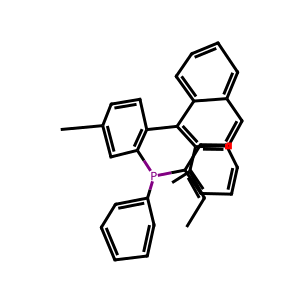 CC=C(C)c1ccc2ccccc2c1-c1ccc(C)cc1P(c1ccccc1)c1ccccc1